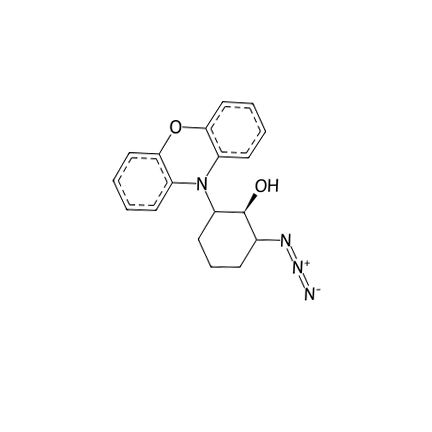 [N-]=[N+]=NC1CCCC(N2c3ccccc3Oc3ccccc32)[C@H]1O